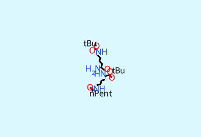 CCCCCC(=O)NCCCC[C@H](NC(=O)[C@@H](N)CCCCNC(=O)OC(C)(C)C)C(=O)OC(C)(C)C